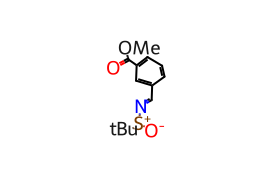 COC(=O)c1cccc(C=N[S+]([O-])C(C)(C)C)c1